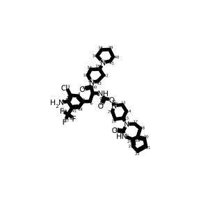 Nc1c(Cl)cc(CC(NC(=O)ON2CCC(N3CCc4ccccc4NC3=O)CC2)C(=O)N2CCC(N3CCCCC3)CC2)cc1C(F)(F)F